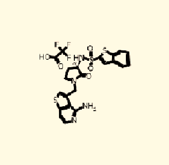 Nc1nccc2scc(CN3CC[C@@H](NS(=O)(=O)c4cc5ccccc5s4)C3=O)c12.O=C(O)C(F)(F)F